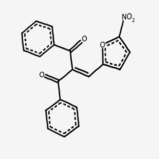 O=C(C(=Cc1ccc([N+](=O)[O-])o1)C(=O)c1ccccc1)c1ccccc1